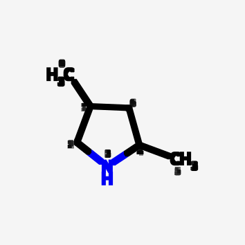 CC1CNC(C)C1